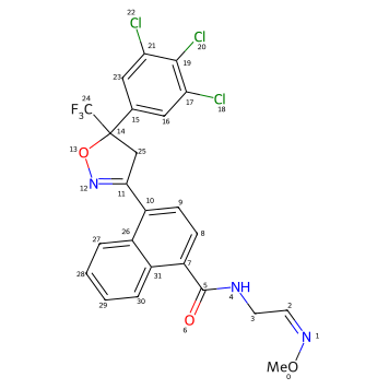 CO/N=C\CNC(=O)c1ccc(C2=NOC(c3cc(Cl)c(Cl)c(Cl)c3)(C(F)(F)F)C2)c2ccccc12